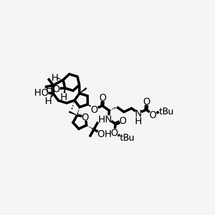 CC(C)(C)OC(=O)NCCC[C@H](NC(=O)OC(C)(C)C)C(=O)O[C@H]1C[C@@]2(C)C3CC[C@@H]([C@@H](O)C3)C(C)(C)[C@@H](O)CC[C@]2(C)[C@H]1[C@@]1(C)CC[C@@H](C(C)(C)O)O1